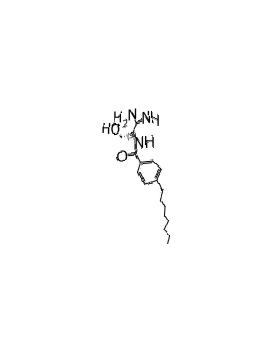 CCCCCCCCc1ccc(C(=O)N[C@H](CO)C(=N)N)cc1